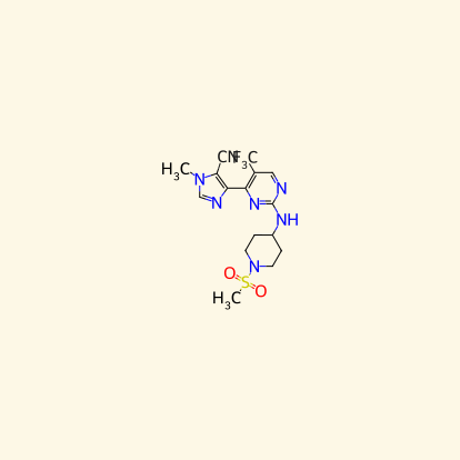 Cn1cnc(-c2nc(NC3CCN(S(C)(=O)=O)CC3)ncc2C(F)(F)F)c1C#N